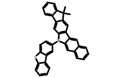 CC1(C)c2ccccc2-c2cc3c(cc21)c1cc2ccccc2cc1n3-c1ccc2sc3ccccc3c2c1